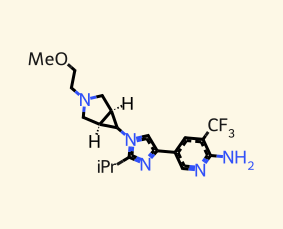 COCCN1C[C@@H]2C(n3cc(-c4cnc(N)c(C(F)(F)F)c4)nc3C(C)C)[C@@H]2C1